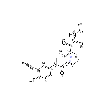 C/C=C(C(=O)Nc1ccc(F)c(C#N)c1)\C(C)=C(/C)C(=O)C(=O)NCC